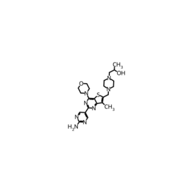 Cc1c(CN2CCN(CC(C)O)CC2)sc2c(N3CCOCC3)nc(-c3cnc(N)nc3)nc12